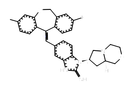 N=c1[nH]c2cc(/C=C3\c4ccc(F)cc4COc4cc(F)ccc43)ccc2n1[C@@H]1C[C@@H]2COCCN2C1